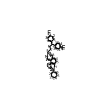 Fc1ccc(C(CCCN2CCc3c(ccc4c3OCN(C3CCCCC3)C4)C2)c2ccc(F)cc2)cc1